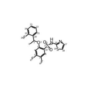 CC(Oc1cc(F)c(F)cc1S(=O)(=O)Nc1nccs1)c1ccccc1F